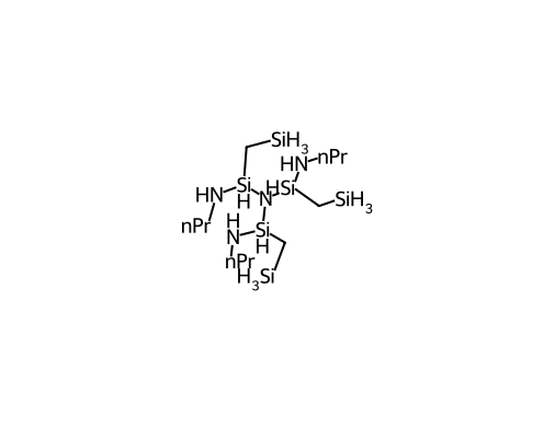 CCCN[SiH](C[SiH3])N([SiH](C[SiH3])NCCC)[SiH](C[SiH3])NCCC